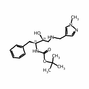 Cn1cc(CNC[C@H](O)[C@H](Cc2ccccc2)NC(=O)OC(C)(C)C)cn1